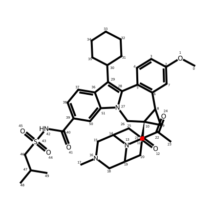 COc1ccc2c(c1)C1C[C@]1(C(=O)N1C3CN(C)CC1CN(C(C)=O)C3)Cn1c-2c(C2CCCCC2)c2ccc(C(=O)NS(=O)(=O)CC(C)C)cc21